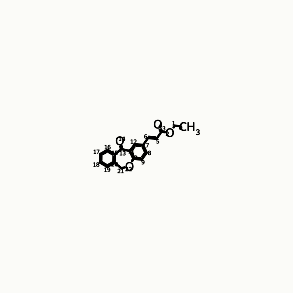 CCOC(=O)C=Cc1ccc2c(c1)C(=O)c1ccccc1CO2